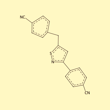 N#Cc1ccc(Cc2cc(-c3ccc(C#N)cc3)ns2)cc1